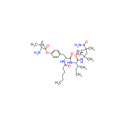 CCCCCC(=O)NC(Cc1ccc(OC(=O)C(N)C(C)C)cc1)C(=O)NC(C(=O)NC(C)(C)CC(C)(C)C(N)=O)C(C)CC